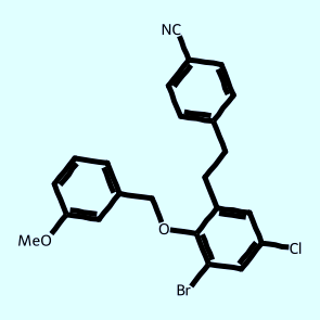 COc1cccc(COc2c(Br)cc(Cl)cc2CCc2ccc(C#N)cc2)c1